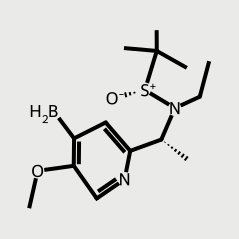 Bc1cc([C@@H](C)N(CC)[S@+]([O-])C(C)(C)C)ncc1OC